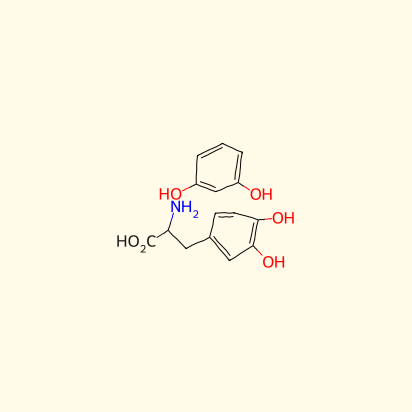 NC(Cc1ccc(O)c(O)c1)C(=O)O.Oc1cccc(O)c1